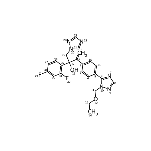 C=C(c1ccc(-c2ncnn2COCC)cc1)C(O)(Cn1cncn1)c1ccc(F)cc1F